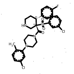 Cc1ccc(Cl)cc1N1CCN(C(=O)[C@@]2(S(=O)(=O)c3cccc(Cl)c3)CNCC[C@@H]2c2ccc(F)cc2)CC1